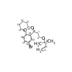 C=CC(C)(C)OCCC(OC1CCCCO1)c1cccc(Br)c1